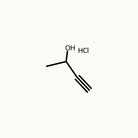 C#CC(C)O.Cl